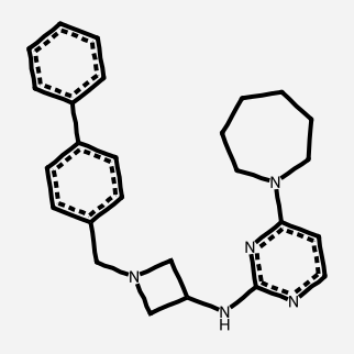 c1ccc(-c2ccc(CN3CC(Nc4nccc(N5CCCCCC5)n4)C3)cc2)cc1